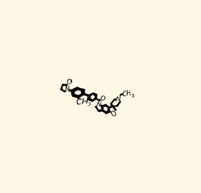 CCN1CCC2(CC1)COc1cc3c(cc12)N(C(=O)c1ccc(-c2ccc(N4CCCC4=O)cc2C)cc1)CC3